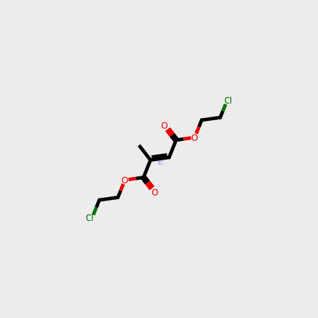 C/C(=C\C(=O)OCCCl)C(=O)OCCCl